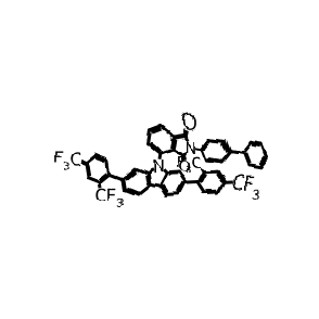 O=C1c2cccc(-n3c4cc(-c5ccc(C(F)(F)F)cc5C(F)(F)F)ccc4c4ccc(-c5ccc(C(F)(F)F)cc5C(F)(F)F)cc43)c2C(=O)N1c1ccc(-c2ccccc2)cc1